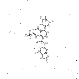 Cc1cn2cc(NC(=O)c3ccc(N4C[C@@H](C)N[C@@H](C)C4)c4ncc(P(C)(C)=O)nc34)cc(F)c2n1